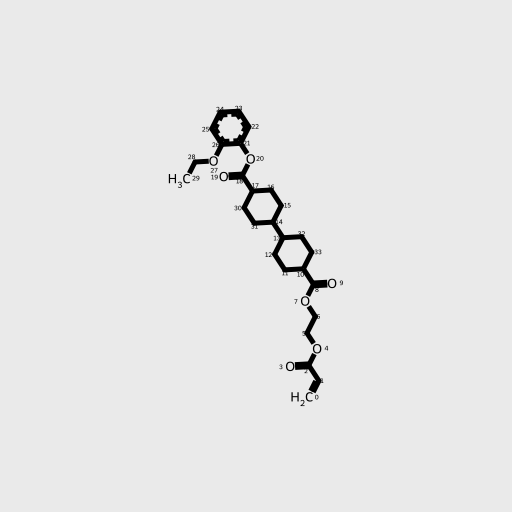 C=CC(=O)OCCOC(=O)C1CCC(C2CCC(C(=O)Oc3ccccc3OCC)CC2)CC1